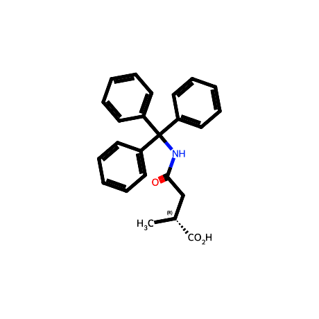 C[C@H](CC(=O)NC(c1ccccc1)(c1ccccc1)c1ccccc1)C(=O)O